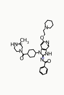 C[C@H]1CN(C(=O)C2CCC(n3/c(=N/C(=O)c4ccccc4)[nH]c4cnc(OCCN5CCCCC5)cc43)CC2)CCN1